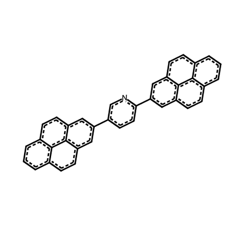 c1cc2ccc3cc(-c4ccc(-c5cc6ccc7cccc8ccc(c5)c6c78)nc4)cc4ccc(c1)c2c34